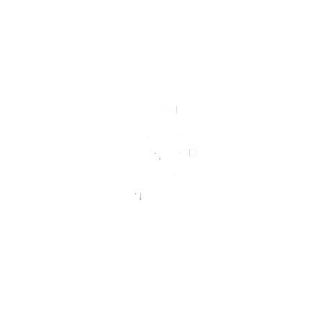 O=C(O)C(=O)O.O=C1C(=O)N2CCCCCN1CCCCC2